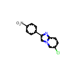 O=[N+]([O-])c1ccc(-c2cn3cc(Cl)ccc3n2)cc1